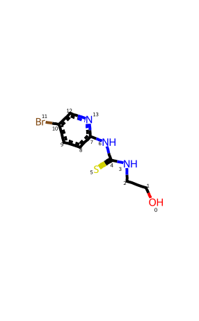 OCCNC(=S)Nc1ccc(Br)cn1